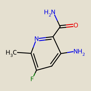 Cc1nc(C(N)=O)c(N)cc1F